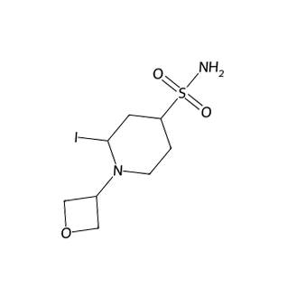 NS(=O)(=O)C1CCN(C2COC2)C(I)C1